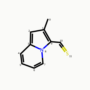 Cc1cc2ccccn2c1C=S